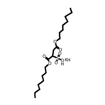 CCCCCCCCOC(=O)CC(C(=O)OCCCCCCCC)S(=O)(=O)O.[KH]